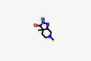 CN1CCC2(C)C(=O)NN=C2C1